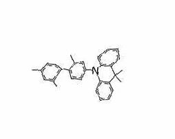 Cc1ccc(-c2ccc(N3c4ccccc4C(C)(C)c4ccccc43)cc2C)c(C)c1